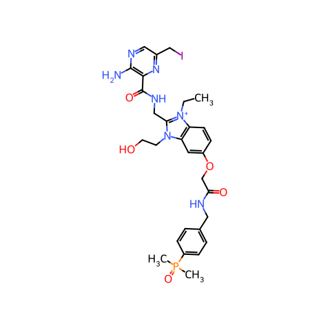 CC[n+]1c(CNC(=O)c2nc(CI)cnc2N)n(CCO)c2cc(OCC(=O)NCc3ccc(P(C)(C)=O)cc3)ccc21